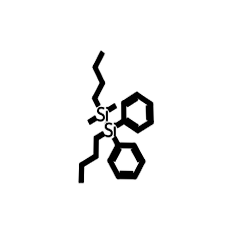 CCCC[Si](C)(C)[Si](CCCC)(c1ccccc1)c1ccccc1